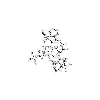 C=C(O)C(C)(C)COc1ccccc1C1(C#N)CCN(C(=O)[C@]2(Oc3csc(C(F)(F)F)c3)CCCN(C(=O)c3ncccc3C(F)(F)F)[C@@H]2CCC)CC1